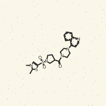 CC1SC(S(=O)(=O)N2CCC(C(=O)N3CCN(c4ccnc5ccccc45)CC3)C2)=CN1C